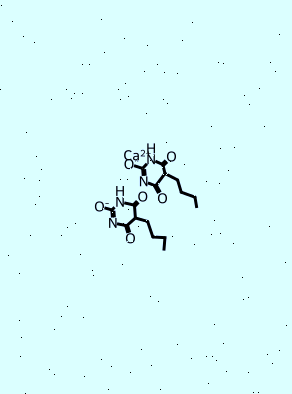 CCCCC1C(=O)N=C([O-])NC1=O.CCCCC1C(=O)N=C([O-])NC1=O.[Ca+2]